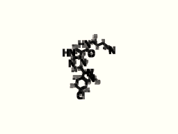 C[C@H](CCC#N)NC(=O)c1c[nH]c2ncc(-c3nn(C)c4cc(Cl)ccc34)nc12